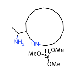 CC(N)C1CCCCCCCCCCCNC1.CO[SiH](OC)OC